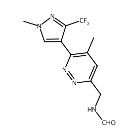 Cc1cc(CNC=O)nnc1-c1cn(C)nc1C(F)(F)F